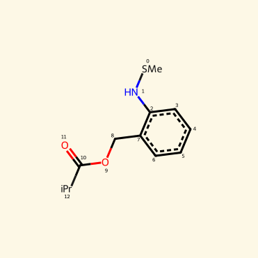 CSNc1ccccc1COC(=O)C(C)C